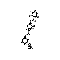 FC(F)(F)Oc1cccc([CH]CC2C3CN(CCc4ccccc4)CC23)c1